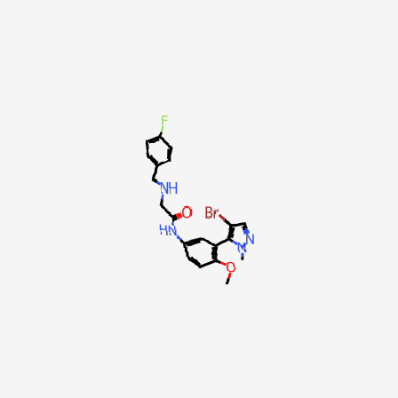 COc1ccc(NC(=O)CNCc2ccc(F)cc2)cc1-c1c(Br)cnn1C